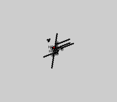 CCCCCCCCCCCCCC(=O)O[C@H](CCCCCCCCCCC)CC(=O)N[C@@H](CO)CO[C@@H]1O[C@H](CO)[C@@H](OP(=O)(O)O)[C@H](OC(=O)C[C@@H](CCCCCCCCCCC)OC(=O)CCCCCCCCCCCCC)[C@H]1NC(=O)C[C@@H](CCCCCCCCCCC)OC(=O)CCCCCCCCCCCCC.CCN(CC)CC